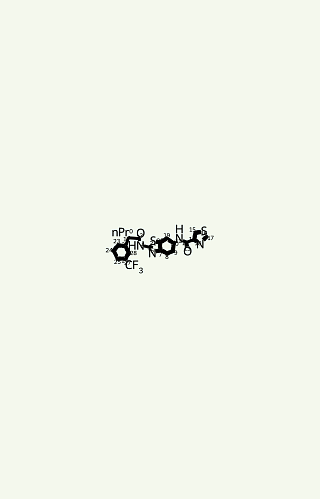 CCCC(C(=O)Nc1nc2ccc(NC(=O)c3cscn3)cc2s1)c1cccc(C(F)(F)F)c1